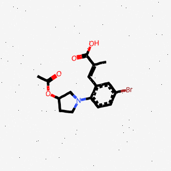 CC(=O)OC1CCN(c2ccc(Br)cc2/C=C(\C)C(=O)O)C1